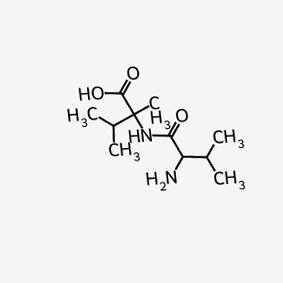 CC(C)C(N)C(=O)NC(C)(C(=O)O)C(C)C